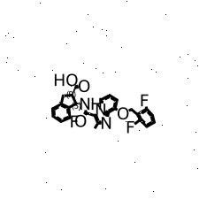 Cc1nc2c(OCc3c(F)cccc3F)cccn2c1C(=O)N[C@@H]1c2c(F)cccc2C[C@H]1C(=O)O